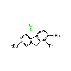 CC(C)(C)c1ccc2c(c1)Cc1c-2ccc(C(C)(C)C)[c]1[Ti+2].[Cl-].[Cl-]